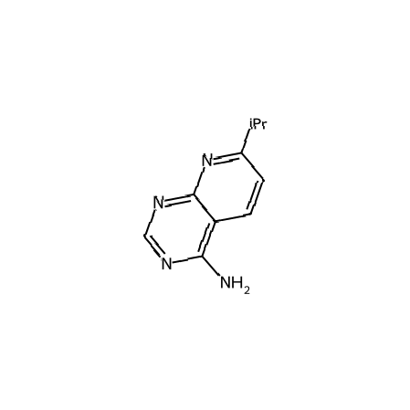 CC(C)c1ccc2c(N)ncnc2n1